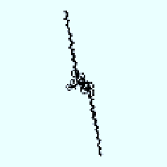 CC(=O)O.CCCCCCCCCCCCCCCCCCOP1OCC2(CO1)COP(OCCCCCCCCCCCCCCCCCC)OC2